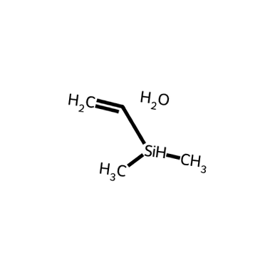 C=C[SiH](C)C.O